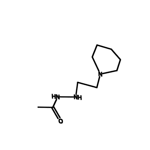 CC(=O)NNCCN1CCCCC1